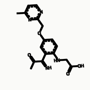 CC(=O)C(=N)c1cc(OCc2nccc(C)n2)ccc1NCC(=O)O